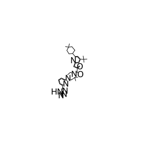 CC1(C)CCC(c2cc(C(C)(C)C)c3oc(C(=O)N4CCN(c5cccc(-c6nnn[nH]6)n5)CC4(C)C)cc3n2)CC1